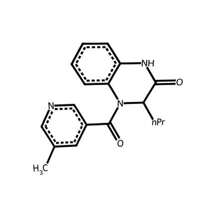 CCCC1C(=O)Nc2ccccc2N1C(=O)c1cncc(C)c1